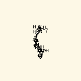 CC(C)(C)OC(=O)NCCCOc1ccc(-c2ccnc(Nc3ccc(N4CCOCC4)c(CO)c3)n2)cn1